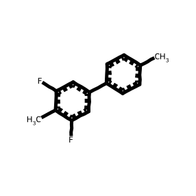 Cc1ccc(-c2cc(F)c(C)c(F)c2)cc1